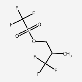 CC(COS(=O)(=O)C(F)(F)F)C(F)(F)F